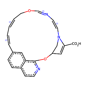 O=C(O)C1=CC2CN1/C=C\N=C/OC/C=C\C=C/c1ccc3ccnc(c3c1)O2